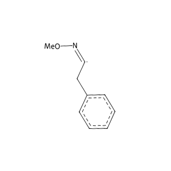 CO/N=[C]\Cc1ccccc1